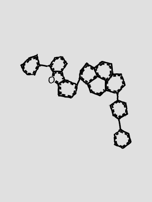 c1ccc(-c2ccc(-c3ccc4ccc5ccc(-c6cccc7oc8c(-c9ccccc9)cccc8c67)c6ccc3c4c56)cc2)cc1